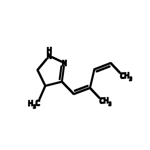 C/C=C\C(C)=C/C1=NNCC1C